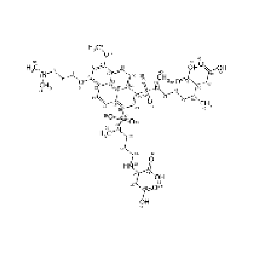 COc1cc(OCCCN(C)C)c2ccc3c(S(=O)(=O)N(C)CCCNC(CC(=O)O)C(=O)O)cc(S(=O)(=O)N(C)CCCC(C)C(CC(=O)O)C(=O)O)c4ccc1c2c34